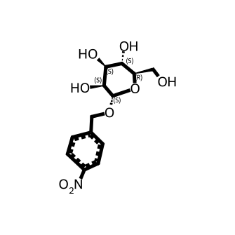 O=[N+]([O-])c1ccc(CO[C@H]2O[C@H](CO)[C@@H](O)[C@H](O)[C@@H]2O)cc1